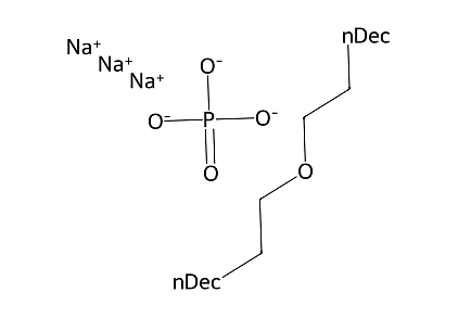 CCCCCCCCCCCCOCCCCCCCCCCCC.O=P([O-])([O-])[O-].[Na+].[Na+].[Na+]